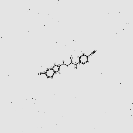 C#Cc1ccc(NC(=O)CSc2nc3cc(Cl)ccc3o2)cc1